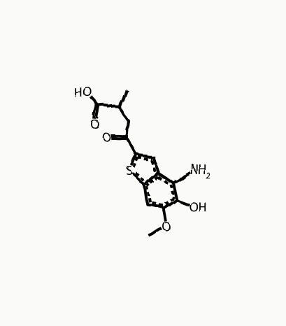 COc1cc2sc(C(=O)CC(C)C(=O)O)cc2c(N)c1O